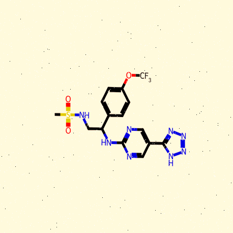 CS(=O)(=O)NCC(Nc1ncc(-c2nnn[nH]2)cn1)c1ccc(OC(F)(F)F)cc1